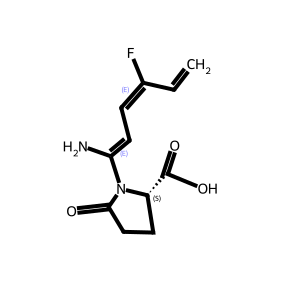 C=C/C(F)=C\C=C(/N)N1C(=O)CC[C@H]1C(=O)O